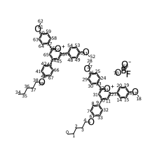 CCCCCOc1ccc(-c2cc(-c3ccc(OC)cc3)[o+]c(-c3ccc(OC)cc3)c2)cc1.CCCCCOc1ccc(-c2cc(-c3ccc(OC)cc3)[o+]c(-c3ccc(OC)cc3)c2)cc1.[O-]B([O-])F